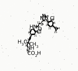 CC(C)(C#Cc1ccc(NC(=O)CSc2nnnn2-c2ccc(C3CC3)cc2Cl)c(Cl)c1)CNCC(=O)O